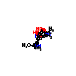 CCCCCC(C)(C)Nc1ccc(-c2ccc(NC(=O)c3cc(C(=O)C(CCC)(CCCC)NC)c(C(=O)O)cc3C(=O)O)cc2)cc1